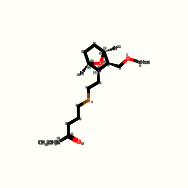 CCCCCCOC[C@H]1[C@@H](CCSCCCC(=O)N(C)O)[C@H]2CC[C@@H]1O2